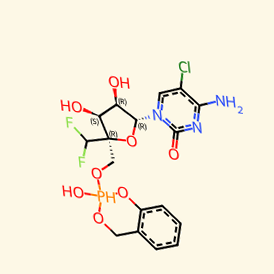 Nc1nc(=O)n([C@@H]2O[C@@](CO[PH]3(O)OCc4ccccc4O3)(C(F)F)[C@@H](O)[C@H]2O)cc1Cl